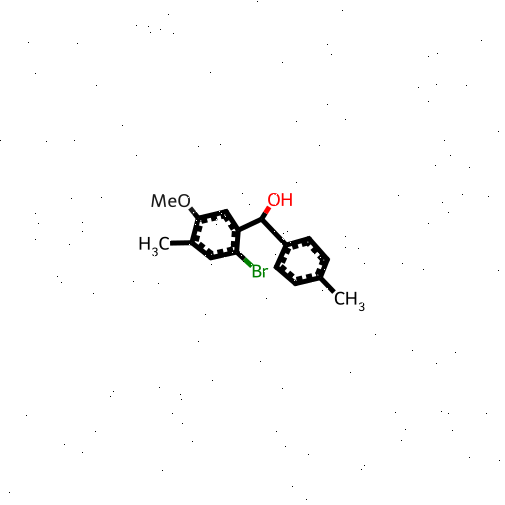 COc1cc(C(O)c2ccc(C)cc2)c(Br)cc1C